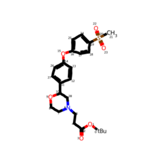 CC(C)(C)OC(=O)CCN1CCOC(c2ccc(Oc3ccc(S(C)(=O)=O)cc3)cc2)C1